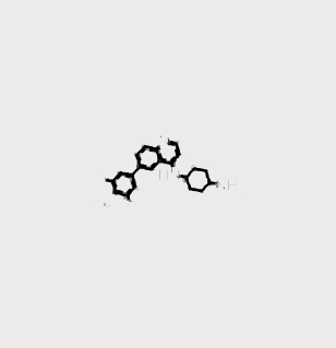 NC1CCC(Nc2[c]cnc3ccc(-c4cc(F)c(O)c(Cl)c4)cc23)CC1